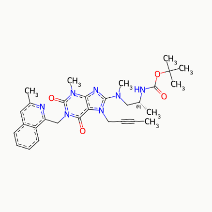 CC#CCn1c(N(C)C[C@@H](C)NC(=O)OC(C)(C)C)nc2c1c(=O)n(Cc1nc(C)cc3ccccc13)c(=O)n2C